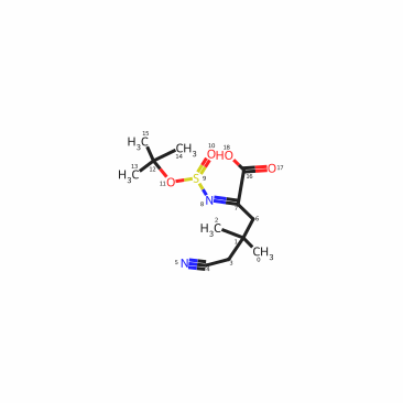 CC(C)(CC#N)CC(=NS(=O)OC(C)(C)C)C(=O)O